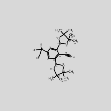 CC1(C)OB(c2cc(C(F)(F)F)cc(B3OC(C)(C)C(C)(C)O3)c2C#N)OC1(C)C